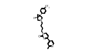 Cc1cc(-c2ccn(CCCCN3C[C@@H]4C[C@]4(c4ccc(C(F)(F)F)cc4)C3)c(=O)n2)ccn1